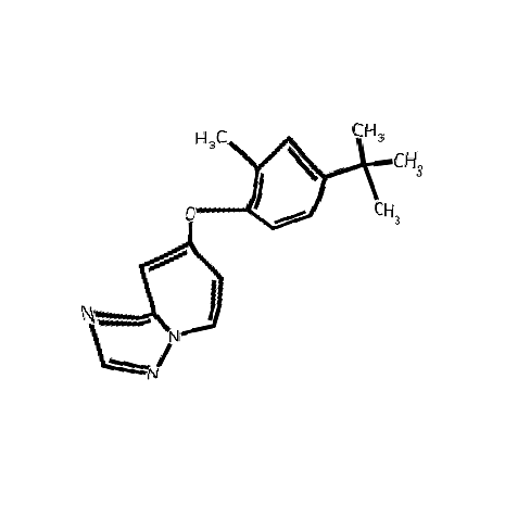 Cc1cc(C(C)(C)C)ccc1Oc1ccn2ncnc2c1